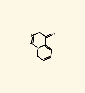 O=C1CN=[C]N2CC=CC=C12